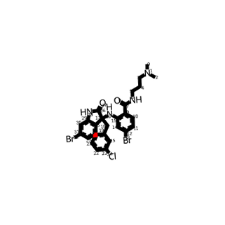 CN(C)CCCNC(=O)c1ccc(Br)cc1NC1(Cc2cccc(Cl)c2)C(=O)Nc2cc(Br)ccc21